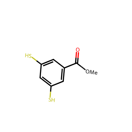 COC(=O)c1cc(S)cc(S)c1